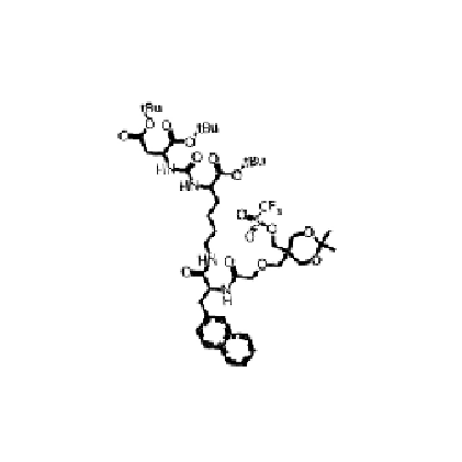 CC(C)(C)OC(=O)CC(NC(=O)NC(CCCCNC(=O)C(Cc1ccc2ccccc2c1)NC(=O)COCC1(COS(=O)(=O)C(F)(F)F)COC(C)(C)OC1)C(=O)OC(C)(C)C)C(=O)OC(C)(C)C